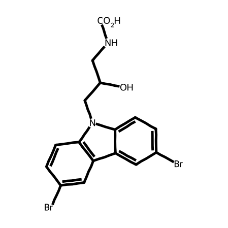 O=C(O)NCC(O)Cn1c2ccc(Br)cc2c2cc(Br)ccc21